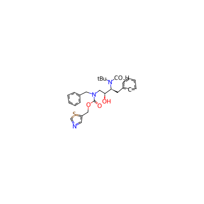 CC(C)(C)N(C(=O)O)[C@@H](Cc1ccccc1)[C@@H](O)CN(Cc1ccccc1)C(=O)OCc1cncs1